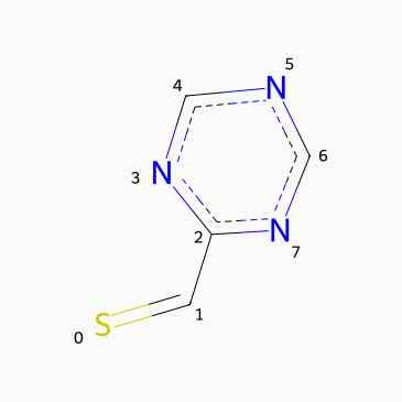 S=Cc1ncncn1